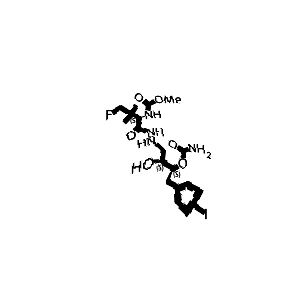 COC(=O)N[C@H](C(=O)NNC[C@H](O)[C@H](Cc1ccc(I)cc1)OC(N)=O)C(C)(C)CF